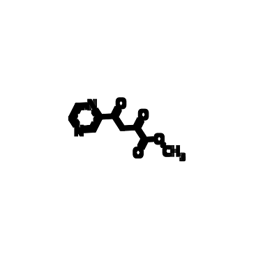 COC(=O)C(=O)CC(=O)c1cnccn1